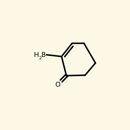 BC1=CCCCC1=O